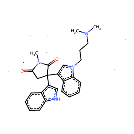 CN(C)CCCn1cc(C2(c3c[nH]c4ccccc34)CC(=O)N(C)C2=O)c2ccccc21